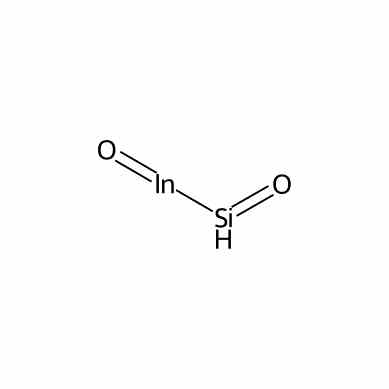 O=[SiH][In]=[O]